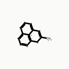 CC1=Cc2cccc3cccc(c23)[CH]1